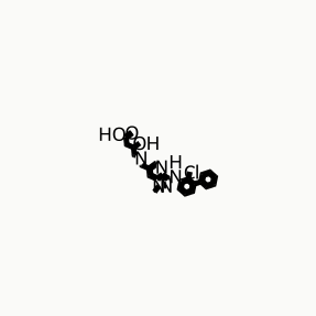 Cn1nc(Nc2cccc(-c3ccccc3)c2Cl)c2ncc(C=NCC(O)CC(=O)O)cc21